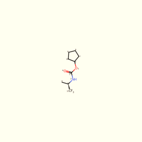 C[C@@H](NC(=O)OC1CCCC1)C(F)(F)F